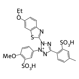 CCOc1ccc2nc(-n3nc(-c4ccc(C)cc4S(=O)(=O)O)n[n+]3-c3ccc(OC)c(S(=O)(=O)O)c3)sc2c1